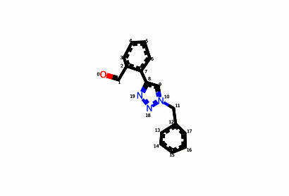 O=Cc1ccccc1-c1cn(Cc2ccccc2)nn1